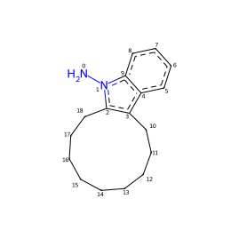 Nn1c2c(c3ccccc31)CCCCCCCCC2